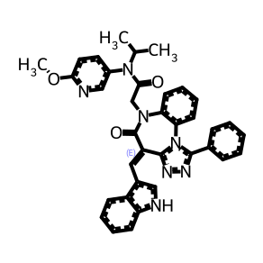 COc1ccc(N(C(=O)CN2C(=O)/C(=C/c3c[nH]c4ccccc34)c3nnc(-c4ccccc4)n3-c3ccccc32)C(C)C)cn1